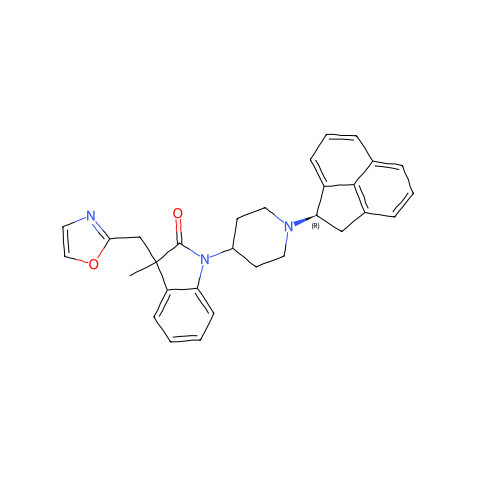 CC1(Cc2ncco2)C(=O)N(C2CCN([C@@H]3Cc4cccc5cccc3c45)CC2)c2ccccc21